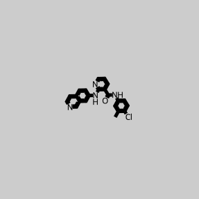 Cc1cc(NC(=O)c2cccnc2Nc2ccc3ccncc3c2)ccc1Cl